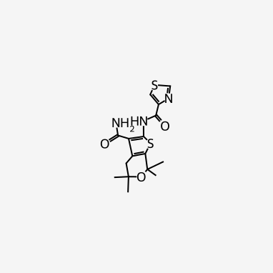 CC1(C)Cc2c(sc(NC(=O)c3cscn3)c2C(N)=O)C(C)(C)O1